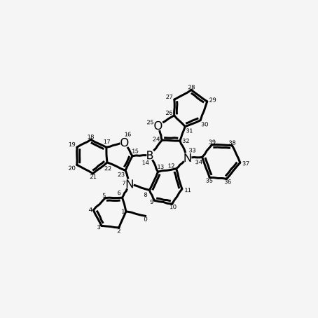 CC1CC=CC=C1N1c2cccc3c2B(c2oc4ccccc4c21)c1oc2ccccc2c1N3c1ccccc1